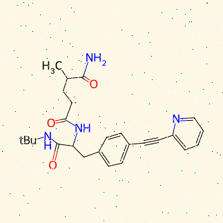 CC(C[CH]C(=O)NC(Cc1ccc(C#Cc2ccccn2)cc1)C(=O)NC(C)(C)C)C(N)=O